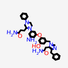 NC(=O)CCC1CN(c2ccccc2)CCN1c1cc(N)cc(Oc2cc(O)cc(Cn3cnc(Cc4ccccc4)c3CC(N)=O)c2)c1